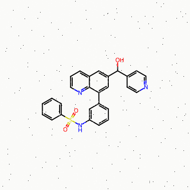 O=S(=O)(Nc1cccc(-c2cc(C(O)c3ccncc3)cc3cccnc23)c1)c1ccccc1